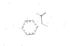 CC(=O)CCl.c1ccccc1